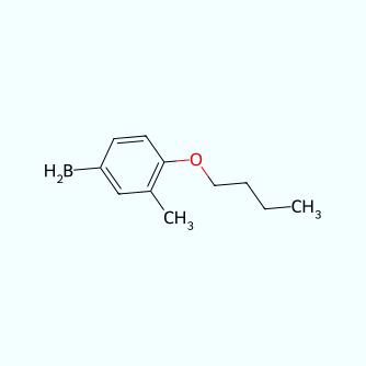 Bc1ccc(OCCCC)c(C)c1